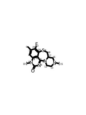 Cc1cc2c3c(nc(=O)n2I)N2CCN(I)CC2CSc3c1F